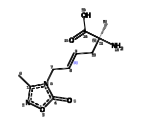 Cc1noc(=O)n1C/C=C/C[C@](C)(N)C(=O)O